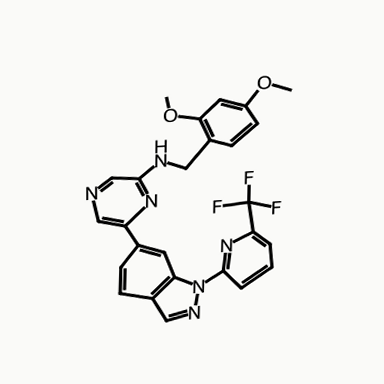 COc1ccc(CNc2cncc(-c3ccc4cnn(-c5cccc(C(F)(F)F)n5)c4c3)n2)c(OC)c1